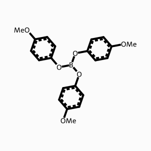 COc1ccc(OB(Oc2ccc(OC)cc2)Oc2ccc(OC)cc2)cc1